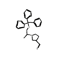 CC(COC(c1ccccc1)(c1ccccc1)c1ccccc1)N1CCC(CF)C1